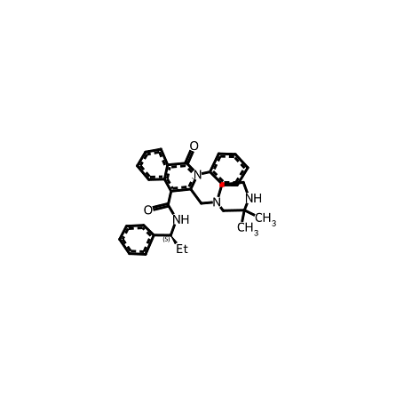 CC[C@H](NC(=O)c1c(CN2CCNC(C)(C)C2)n(-c2ccccc2)c(=O)c2ccccc12)c1ccccc1